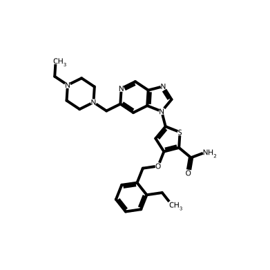 CCc1ccccc1COc1cc(-n2cnc3cnc(CN4CCN(CC)CC4)cc32)sc1C(N)=O